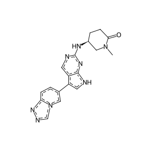 CN1C[C@@H](Nc2ncc3c(-c4ccc5nncn5c4)c[nH]c3n2)CCC1=O